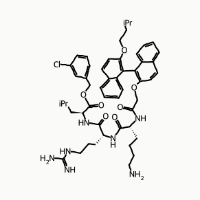 CC(C)CCOc1ccc2ccccc2c1-c1c(OCC(=O)N[C@H](CCCCN)C(=O)N[C@H](CCCNC(=N)N)C(=O)N[C@@H](CC(C)C)C(=O)OCc2cccc(Cl)c2)ccc2ccccc12